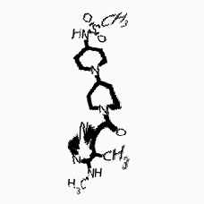 CNc1ncnc(C(=O)N2CCC(N3CCC(NS(C)(=O)=O)CC3)CC2)c1C